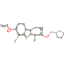 CCCCCOc1ccc2c(sc3c(F)c(OCC4CCCC4)ccc32)c1F